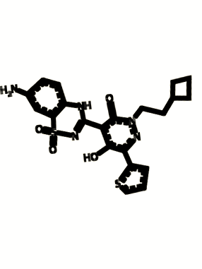 Nc1ccc2c(c1)S(=O)(=O)N=C(c1c(O)c(-c3cccs3)nn(CCC3CCC3)c1=O)N2